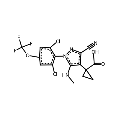 CNc1c(C2(C(=O)O)CC2)c(C#N)nn1-c1c(Cl)cc(OC(F)(F)F)cc1Cl